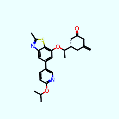 C=C1CC(=O)C[C@@H]([C@@H](C)Oc2cc(-c3ccc(OC(C)C)nc3)cc3nc(C)sc23)C1